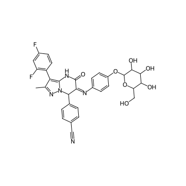 Cc1nn2c(c1-c1ccc(F)cc1F)NC(=O)C(=Nc1ccc(OC3OC(CO)C(O)C(O)C3O)cc1)C2c1ccc(C#N)cc1